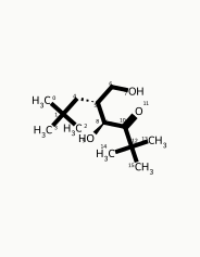 CC(C)(C)C[C@H](CO)[C@H](O)C(=O)C(C)(C)C